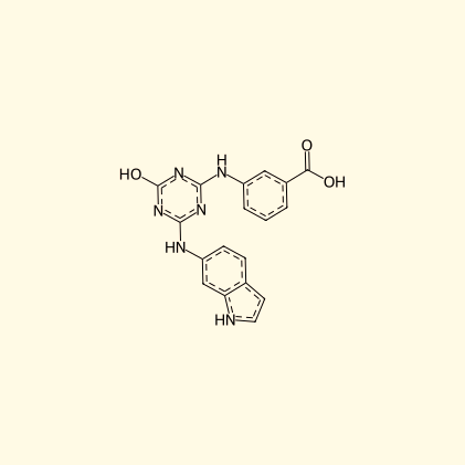 O=C(O)c1cccc(Nc2nc(O)nc(Nc3ccc4cc[nH]c4c3)n2)c1